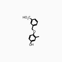 Cc1cc(O)ccc1OCc1cccc(C(=O)O)c1